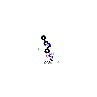 COC(C)CNC(=O)Nc1cccc(-c2cnc3cc(-c4ccc(F)cc4)ccn23)c1.Cl